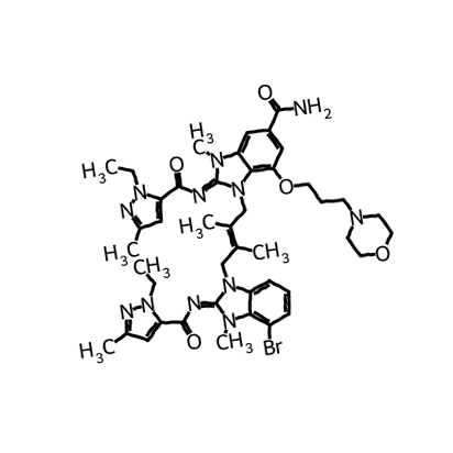 CCn1nc(C)cc1C(=O)/N=c1\n(C)c2c(Br)cccc2n1C/C(C)=C(\C)Cn1/c(=N/C(=O)c2cc(C)nn2CC)n(C)c2cc(C(N)=O)cc(OCCCN3CCOCC3)c21